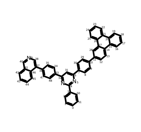 c1ccc(-c2nc(-c3ccc(-c4ccc5c6ccccc6c6ccccc6c5c4)cc3)cc(-c3ccc(-c4cncc5ccccc45)cc3)n2)cc1